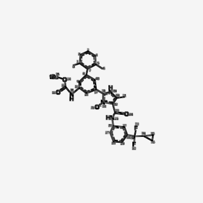 Cc1cccc(C)c1-c1cc(NC(=O)OC(C)(C)C)cc(-c2[nH]c(C)c(C(=O)Nc3cccc(C(F)(F)C4CC4)c3)[n+]2[O-])c1